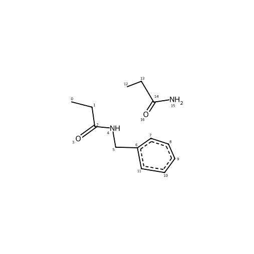 CCC(=O)NCc1ccccc1.CCC(N)=O